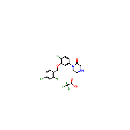 O=C(O)C(F)(F)F.O=C1CNCCN1c1ccc(F)c(OCc2ccc(Cl)cc2F)c1